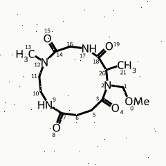 COCN1C(=O)CCC(=O)NCCN(C)C(=O)CNC(=O)C1C